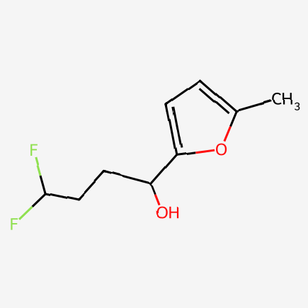 Cc1ccc(C(O)CCC(F)F)o1